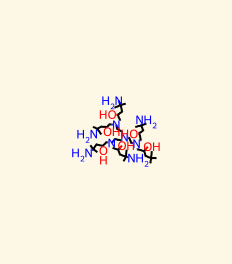 CC(C)(C)CC(O)CN(CCN(CCN(CC(O)CC(C)(C)N)CC(O)CC(C)(C)N)CCN(CC(O)CC(C)(C)N)CC(O)CC(C)(C)N)CC(O)CC(C)(C)N